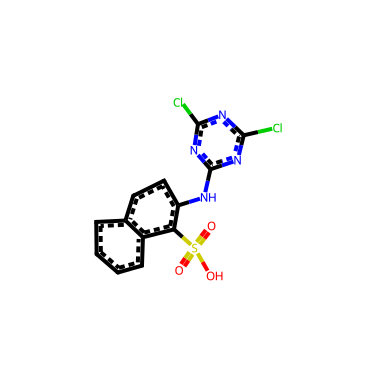 O=S(=O)(O)c1c(Nc2nc(Cl)nc(Cl)n2)ccc2ccccc12